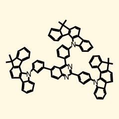 CC1(C)c2ccccc2-c2c1ccc1c3ccccc3n(-c3ccc(-c4nc(-c5cccc(-n6c7ccccc7c7ccc8c(c76)-c6ccccc6C8(C)C)c5)c5cc(-c6cccc(-n7c8ccccc8c8ccc9c(c87)-c7ccccc7C9(C)C)c6)ccc5n4)cc3)c21